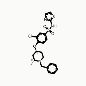 C[C@@H]1C[C@@H](Oc2ccc(S(=O)(=O)Nc3nccs3)cc2Cl)CCN1Cc1ccccc1